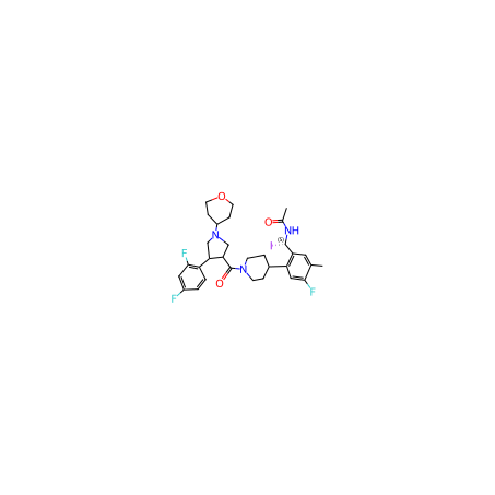 CC(=O)N[C@@H](I)c1cc(C)c(F)cc1C1CCN(C(=O)C2CN(C3CCOCC3)CC2c2ccc(F)cc2F)CC1